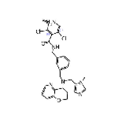 C=C/C(Cl)=C(C(=O)NCc1cccc(CN(Cc2cncn2C)C2CCOc3cccnc32)c1)\C(Cl)=C/N